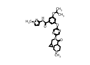 CC(C)Oc1cc(Oc2cnc(N(CC3CC3)C(=O)C3CCN(C)CC3)cn2)cc(C(=O)Nc2ccn(C)n2)c1